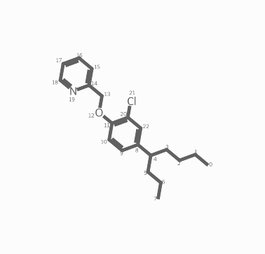 CCCCC(CCC)c1ccc(OCc2ccccn2)c(Cl)c1